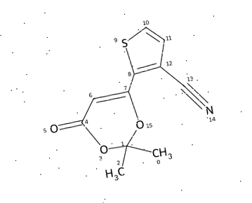 CC1(C)OC(=O)C=C(c2sccc2C#N)O1